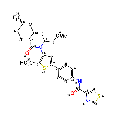 COCC(C)N(c1cc(-c2ccc(NC(=O)c3cscn3)cc2)sc1C(=O)O)C(=O)[C@H]1CC[C@H](C(F)(F)F)CC1